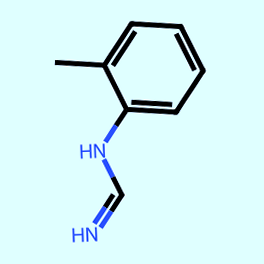 Cc1ccccc1NC=N